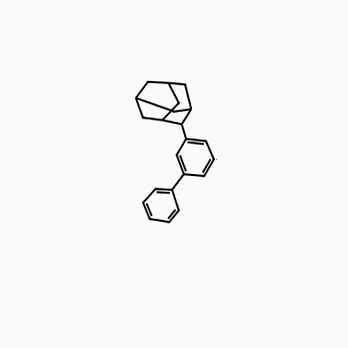 [c]1cc(-c2ccccc2)cc(C2C3CC4CC(C3)CC2C4)c1